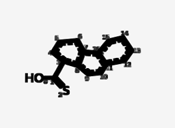 OC(=S)c1cccc2c1ccc1ccccc12